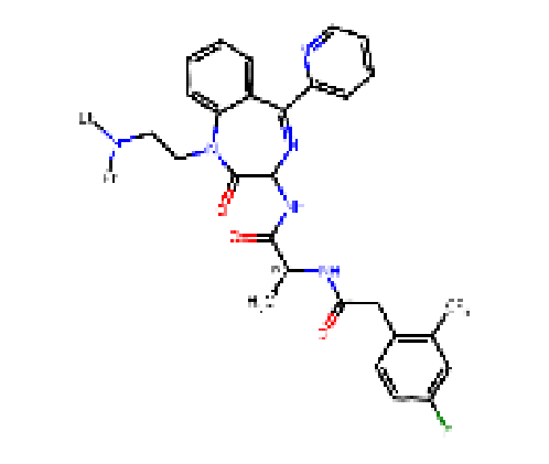 CCN(CC)CCN1C(=O)C(NC(=O)[C@H](C)NC(=O)Cc2ccc(F)cc2C(F)(F)F)N=C(c2ccccn2)c2ccccc21